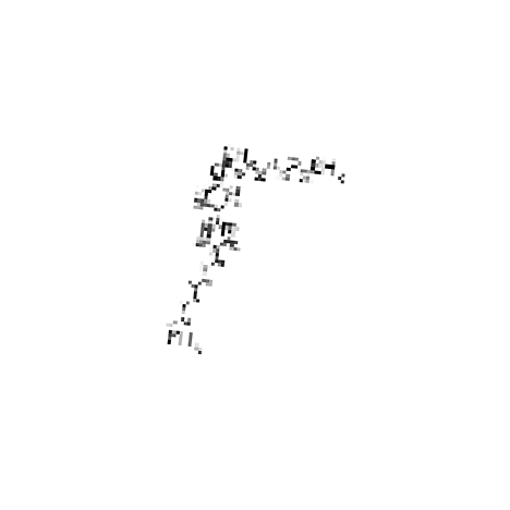 CCCCCCCCCc1cnc(-c2ccc(OC(C)CCCCCCCC)cc2)nc1